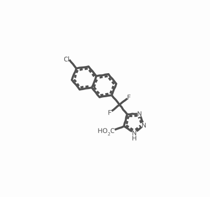 O=C(O)c1[nH]nnc1C(F)(F)c1ccc2cc(Cl)ccc2c1